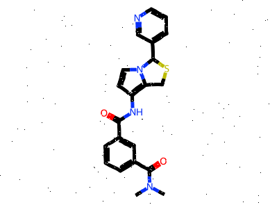 CN(C)C(=O)c1cccc(C(=O)Nc2ccn3c2CSC3c2cccnc2)c1